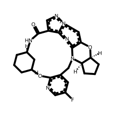 O=C1N[C@@H]2CCC[C@@H](C2)Oc2ncc(F)cc2CN2c3nc4c1cnn4cc3O[C@H]1CCC[C@H]12